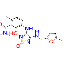 Cc1ccc(CNc2n[s+]([O-])nc2Nc2ccc(C)c(C(=O)N(C)C)c2O)o1